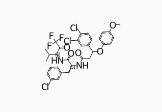 COc1ccc(OC(CC(=O)N[C@@H](Cc2cccc(Cl)c2)C(=O)N[C@H](C(=O)C(F)(F)F)C(C)C)c2ccc(Cl)c(Cl)c2)cc1